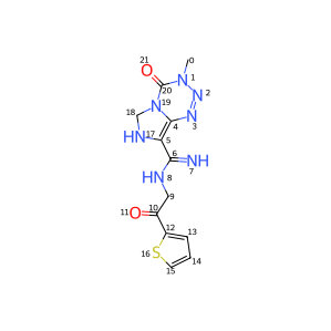 CN1N=NC2=C(C(=N)NCC(=O)c3cccs3)NCN2C1=O